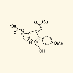 COc1ccc([C@@H]2[C@@H](CCO)[C@@H]3CC[C@H](OC(=O)C(C)(C)C)[C@@]3(C)C[C@H]2OC(=O)C(C)(C)C)cc1